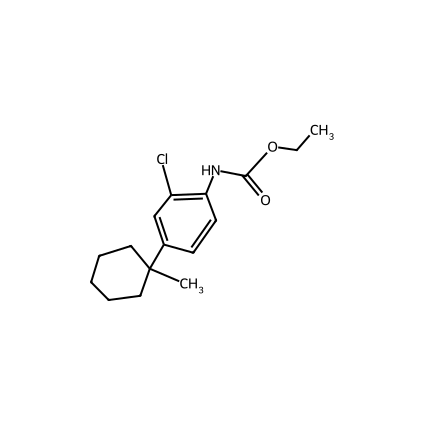 CCOC(=O)Nc1ccc(C2(C)CCCCC2)cc1Cl